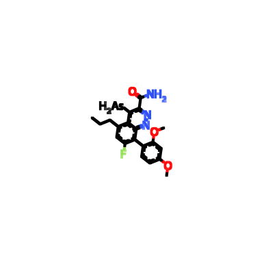 CCCc1cc(F)c(-c2ccc(OC)cc2OC)c2nnc(C(N)=O)c([AsH2])c12